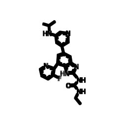 CCNC(=O)Nc1nc2cc(-c3cncc(NC(C)C)c3)cc(-c3ncccc3F)c2[nH]1